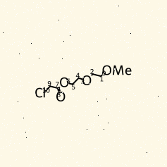 COCCOCCOC(=O)CCl